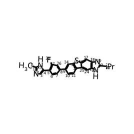 Cc1ncc(-c2ccc(-c3ccc4c(c3)sc3cc5nc(C(C)C)[nH]c5cc34)cc2F)[nH]1